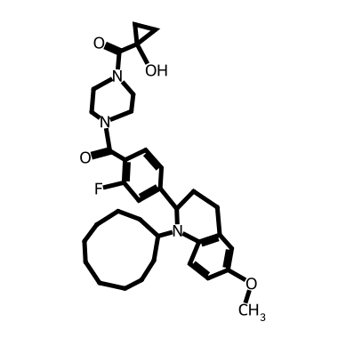 COc1ccc2c(c1)CCC(c1ccc(C(=O)N3CCN(C(=O)C4(O)CC4)CC3)c(F)c1)N2C1CCCCCCCCC1